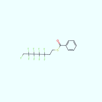 O=C(SCCC(F)(F)C(F)(F)C(F)(F)C(F)(F)CF)c1ccccc1